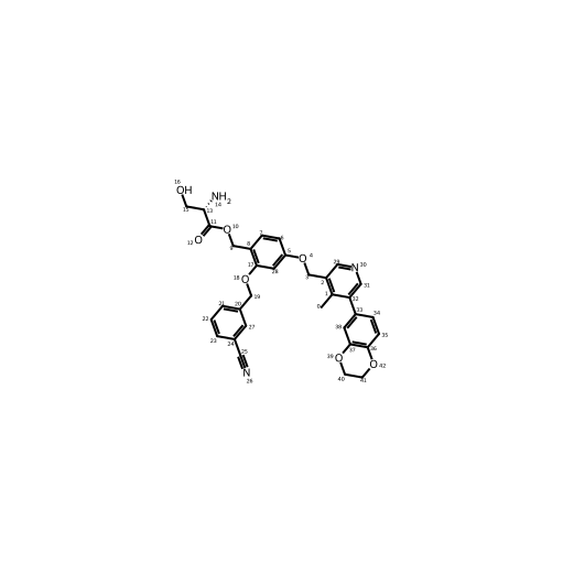 Cc1c(COc2ccc(COC(=O)[C@@H](N)CO)c(OCc3cccc(C#N)c3)c2)cncc1-c1ccc2c(c1)OCCO2